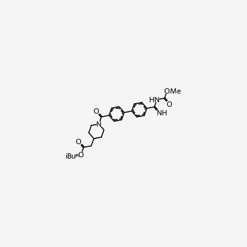 CC[C@@H](C)OC(=O)CC1CCN(C(=O)c2ccc(-c3ccc(C(=N)NC(=O)OC)cc3)cc2)CC1